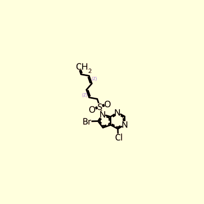 C=C/C=C\C=C/CS(=O)(=O)n1c(Br)cc2c(Cl)ncnc21